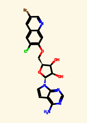 Nc1ncnc2c1ccn2[C@@H]1O[C@H](COc2cc3ncc(Br)cc3cc2Cl)[C@@H](O)[C@H]1O